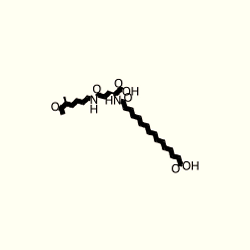 CC(=O)[C@@H](C)CCCCNC(=O)CC[C@H](NC(=O)CCCCCCCCCCCCCCC(=O)O)C(=O)O